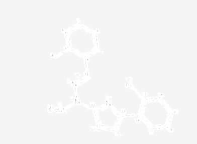 CCCC(C)N(/N=C/c1ccccc1C)c1nc(-c2ccccc2Cl)cs1